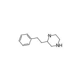 c1ccc(CCC2CNCC[N]2)cc1